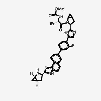 COC(=O)N[C@H](C(=O)N1C2CC2C[C@H]1c1ncc(-c2ccc(-c3ccc4c(ccc5[nH]c([C@@H]6C[C@H]7C[C@H]7N6)nc54)c3)cc2F)[nH]1)C(C)C